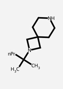 CCCC(C)(C)N1CC2(CCNCC2)C1